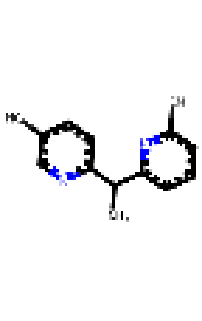 C[C](c1ccc(C#N)cn1)c1cccc(C#N)n1